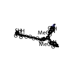 C=C1CC2C=Nc3cc(OCc4cc(COc5cc6c(cc5OC)C(=O)N5C/C(=C/C)C[C@H]5C=N6)cc(N5CCN(C(=O)CCOCCOCCOCCOCCNC(=O)CCN6C(=O)CC(S)C6=O)CC5)c4)c(OC)cc3C(=O)N2C1